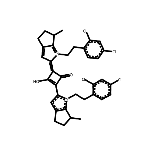 CC1CCC2=C/C(=C3/C(=O)C(c4cc5c(n4CCc4ccc(Cl)cc4Cl)C(C)CC5)=C3O)[N+](CCc3ccc(Cl)cc3Cl)=C21